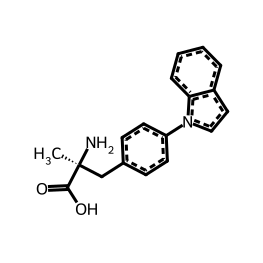 C[C@](N)(Cc1ccc(-n2ccc3ccccc32)cc1)C(=O)O